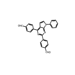 O=Cc1ccc(-c2nc(-c3ccc(C=O)cc3)c3ccn(-c4ccccc4)c3n2)cc1